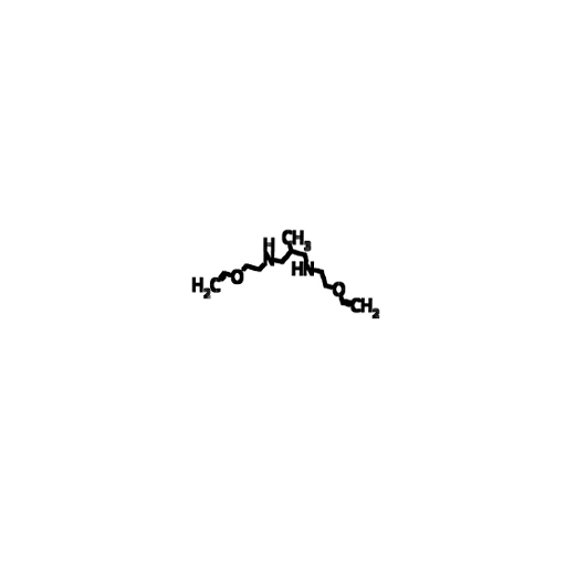 C=COCCNCC(C)CNCCOC=C